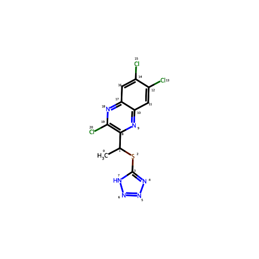 CC(Sc1nnn[nH]1)c1nc2cc(Cl)c(Cl)cc2nc1Cl